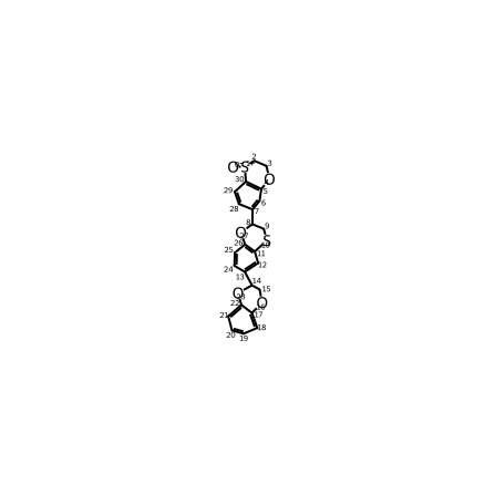 [O-][S+]1CCOc2cc(C3CSc4cc(C5COc6ccccc6O5)ccc4O3)ccc21